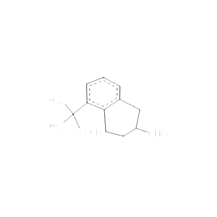 CC(O)(C(=O)O)c1cccc2c1CCC(C=O)C2